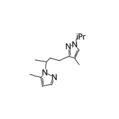 Cc1cn(C(C)C)nc1CCC(C)n1nccc1C